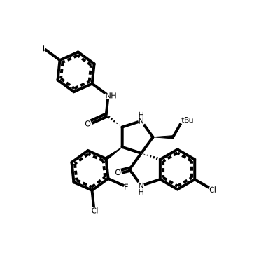 CC(C)(C)C[C@@H]1N[C@@H](C(=O)Nc2ccc(I)cc2)[C@H](c2cccc(Cl)c2F)[C@]12C(=O)Nc1cc(Cl)ccc12